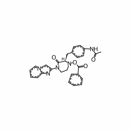 CC(=O)Nc1ccc(C[C@@H]2C(=O)N(c3cn4ccccc4n3)CCN2OC(=O)c2ccccc2)cc1